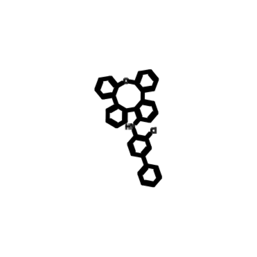 Clc1cc(-c2ccccc2)ccc1Nc1cccc2c3ccccc3oc3ccccc3c3ccccc3c12